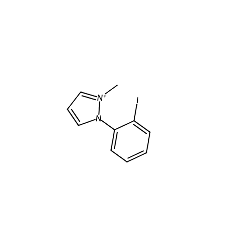 C[n+]1cccn1-c1ccccc1I